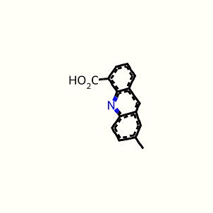 Cc1ccc2nc3c(C(=O)O)cccc3cc2c1